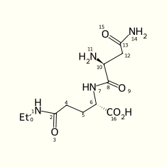 CCNC(=O)CC[C@H](NC(=O)[C@@H](N)CC(N)=O)C(=O)O